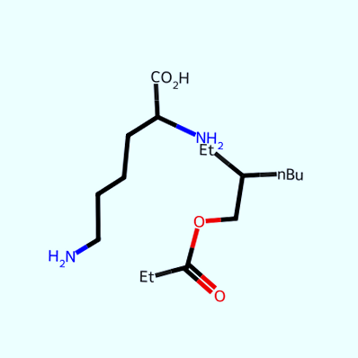 CCCCC(CC)COC(=O)CC.NCCCCC(N)C(=O)O